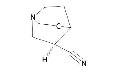 N#C[C@H]1CN2CCC1CC2